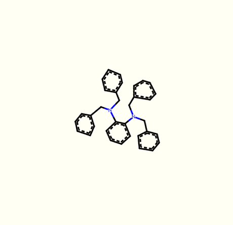 c1ccc(CN(Cc2ccccc2)c2ccccc2N(Cc2ccccc2)Cc2ccccc2)cc1